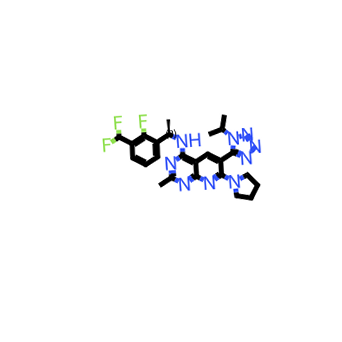 Cc1nc(N[C@H](C)c2cccc(C(F)F)c2F)c2cc(-c3nnnn3C(C)C)c(N3CCCC3)nc2n1